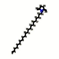 C=CCCCCCCCCCCCCCCCCCCCCN1C(=C)CCC1=C